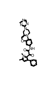 Cc1cc(-c2ccccc2)c(C(=O)C(=O)Nc2ccc3c(c2)OC=C2CN(c4ncncn4)CCN23)n1C